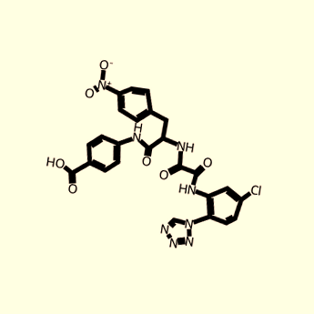 O=C(Nc1cc(Cl)ccc1-n1cnnn1)C(=O)NC(Cc1ccc([N+](=O)[O-])cc1)C(=O)Nc1ccc(C(=O)O)cc1